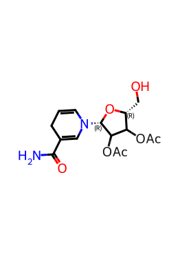 CC(=O)OC1C(OC(C)=O)[C@@H](CO)O[C@H]1N1C=CCC(C(N)=O)=C1